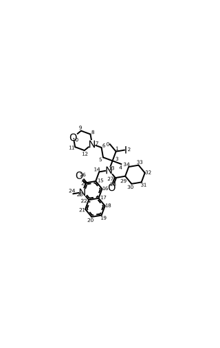 CC(I)C(C)(CCN1CCOCC1)N(Cc1cc2ccccc2n(C)c1=O)C(=O)C1CCCCC1